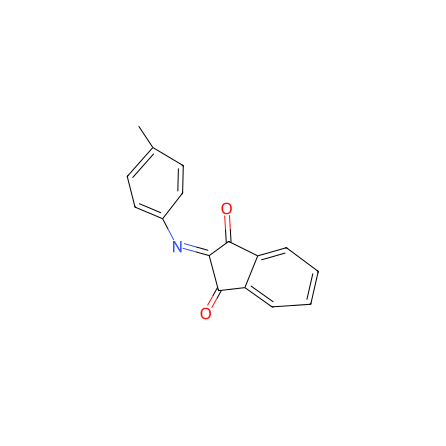 Cc1ccc(N=c2c(=O)c3ccccc3c2=O)cc1